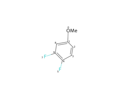 [CH2-][OH+]c1ccc(F)c(F)c1